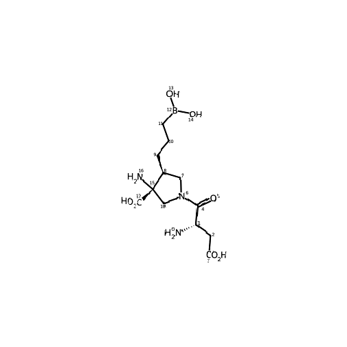 N[C@@H](CC(=O)O)C(=O)N1C[C@H](CCCB(O)O)[C@](N)(C(=O)O)C1